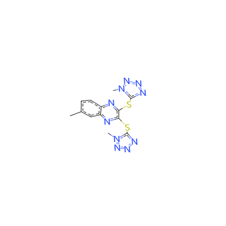 Cc1ccc2nc(Sc3nnnn3C)c(Sc3nnnn3C)nc2c1